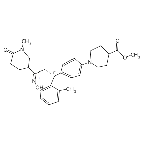 COC(=O)C1CCN(c2ccc([C@@H](C/C(=N\O)C3CCC(=O)N(C)C3)c3ccccc3C)cc2)CC1